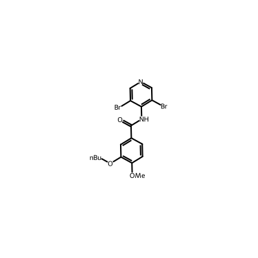 CCCCOc1cc(C(=O)Nc2c(Br)cncc2Br)ccc1OC